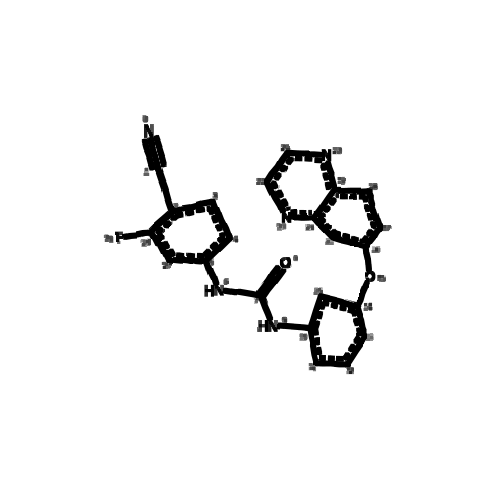 N#Cc1ccc(NC(=O)Nc2cccc(Oc3ccc4nccnc4c3)c2)cc1F